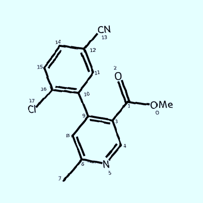 COC(=O)c1cnc(C)cc1-c1cc(C#N)ccc1Cl